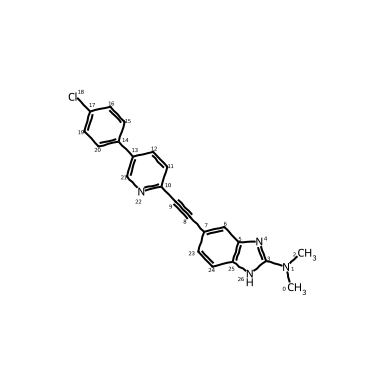 CN(C)c1nc2cc(C#Cc3ccc(-c4ccc(Cl)cc4)cn3)ccc2[nH]1